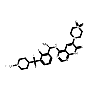 C[C@@H](Nc1ncnc2[nH]c(=O)c(N3CCS(=O)(=O)CC3)cc12)c1cccc(C(F)(F)C2CCN(C(=O)O)CC2)c1F